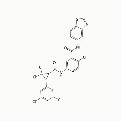 O=C(Nc1ccc2scnc2c1)c1cc(NC(=O)C2C(c3cc(Cl)cc(Cl)c3)C2(Cl)Cl)ccc1Cl